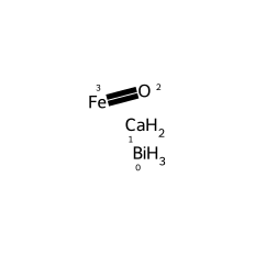 [BiH3].[CaH2].[O]=[Fe]